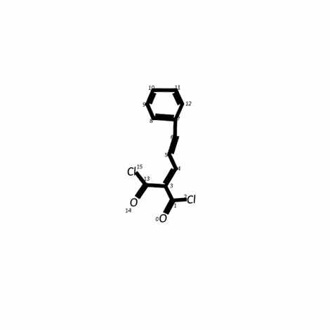 O=C(Cl)C(=CC=Cc1ccccc1)C(=O)Cl